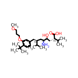 COCCCOc1cc(C[C@@H](C[C@H](N)[C@@H](O)C[C@H](C(=O)O)C(C)C)C(C)C)ccc1C(C)(C)C